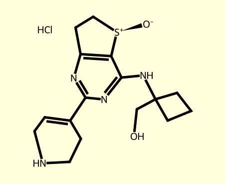 Cl.[O-][S@+]1CCc2nc(C3=CCNCC3)nc(NC3(CO)CCC3)c21